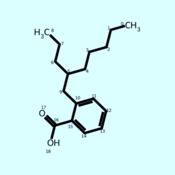 CCCCCC(CCC)Cc1ccccc1C(=O)O